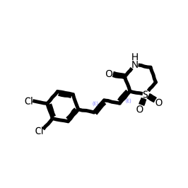 O=C1NCCS(=O)(=O)/C1=C/C=C/c1ccc(Cl)c(Cl)c1